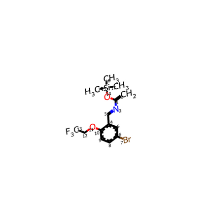 C=C(/N=C/c1cc(Br)ccc1OCC(F)(F)F)O[Si](C)(C)C